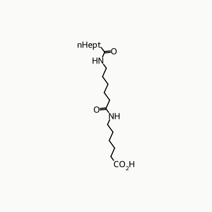 CCCCCCCC(=O)NCCCCCC(=O)NCCCCCC(=O)O